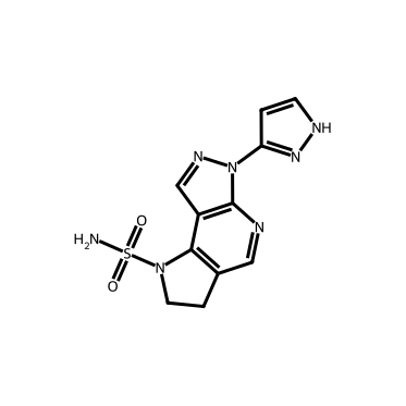 NS(=O)(=O)N1CCc2cnc3c(cnn3-c3cc[nH]n3)c21